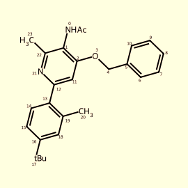 CC(=O)Nc1c(OCc2ccccc2)cc(-c2ccc(C(C)(C)C)cc2C)nc1C